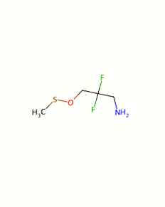 CSOCC(F)(F)CN